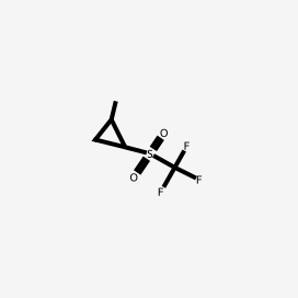 CC1CC1S(=O)(=O)C(F)(F)F